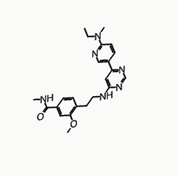 CCN(C)c1ccc(-c2cc(NCCc3ccc(C(=O)NC)cc3OC)ncn2)cn1